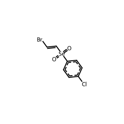 O=[Se](=O)(C=CBr)c1ccc(Cl)cc1